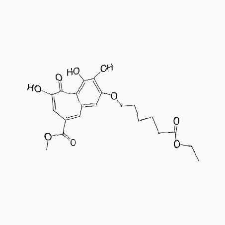 CCOC(=O)CCCCCOc1cc2cc(C(=O)OC)cc(O)c(=O)c2c(O)c1O